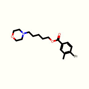 Cc1cc(C(=O)OCCCCCN2CCOCC2)ccc1C(C)C